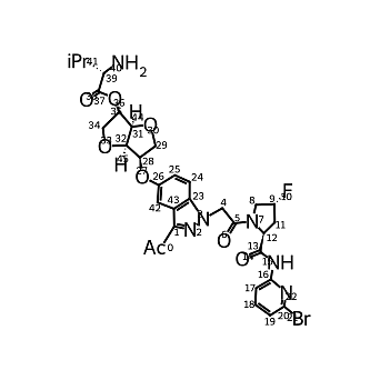 CC(=O)c1nn(CC(=O)N2C[C@H](F)C[C@H]2C(=O)Nc2cccc(Br)n2)c2ccc(O[C@@H]3CO[C@H]4[C@@H]3OC[C@H]4OC(=O)[C@@H](N)C(C)C)cc12